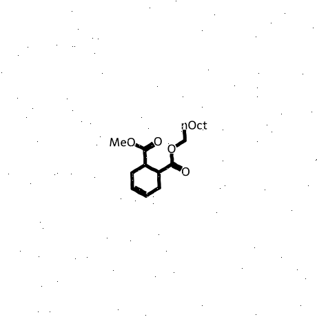 CCCCCCCCCOC(=O)C1CC=CCC1C(=O)OC